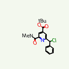 CNC(=O)c1cc(C(=O)OC(C)(C)C)cc(C(Cl)c2ccccc2)n1